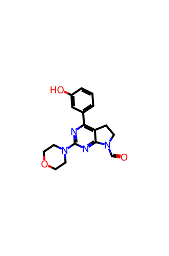 O=CN1CCc2c(-c3cccc(O)c3)nc(N3CCOCC3)nc21